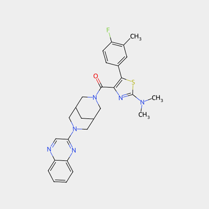 Cc1cc(-c2sc(N(C)C)nc2C(=O)N2CC3CC(C2)CN(c2cnc4ccccc4n2)C3)ccc1F